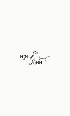 CCCN[C@@H](C)C(N)=O